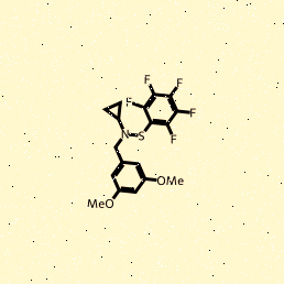 COc1cc(CN(Sc2c(F)c(F)c(F)c(F)c2F)C2CC2)cc(OC)c1